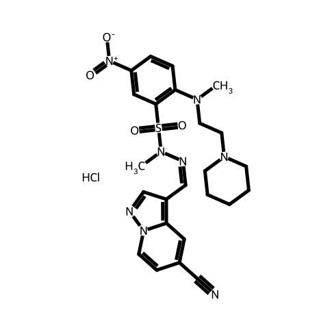 CN(CCN1CCCCC1)c1ccc([N+](=O)[O-])cc1S(=O)(=O)N(C)/N=C\c1cnn2ccc(C#N)cc12.Cl